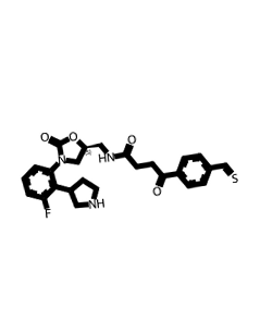 O=C(CCC(=O)c1ccc(C=S)cc1)NC[C@H]1CN(c2cccc(F)c2C2CCNC2)C(=O)O1